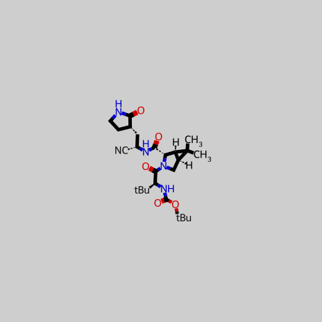 CC(C)(C)OC(=O)N[C@H](C(=O)N1C[C@H]2[C@@H]([C@H]1C(=O)N[C@H](C#N)C[C@@H]1CCNC1=O)C2(C)C)C(C)(C)C